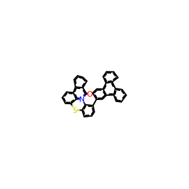 O=c1c2ccccc2c2cccc3c2n1-c1c(cccc1-c1ccc2c4ccccc4c4ccccc4c2c1)S3